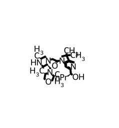 CCC[C@H](O)c1cc2c(cn1)C(C)(C)CN2C(=O)CN1C[C@@H](C)NC[C@@H]1CN1[C@H](C)COC[C@H]1C